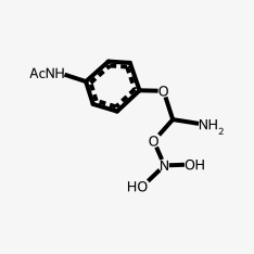 CC(=O)Nc1ccc(OC(N)ON(O)O)cc1